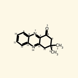 CC1(C)CC(=O)c2nc3ccccc3nc2C1